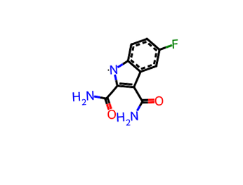 NC(=O)C1=C(C(N)=O)c2cc(F)ccc2[N]1